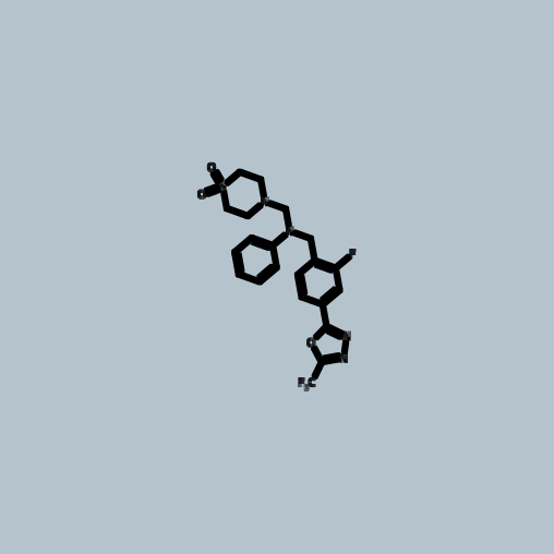 O=S1(=O)CCN(CN(Cc2ccc(-c3nnc(C(F)(F)F)o3)cc2F)c2ccccc2)CC1